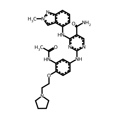 CC(=O)Nc1cc(Nc2ncc(C(N)=O)c(Nc3cccc4nn(C)cc34)n2)ccc1OCCN1CCCC1